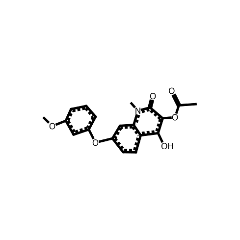 COc1cccc(Oc2ccc3c(O)c(OC(C)=O)c(=O)n(C)c3c2)c1